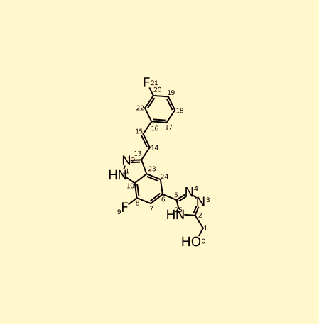 OCc1nnc(-c2cc(F)c3[nH]nc(/C=C/c4cccc(F)c4)c3c2)[nH]1